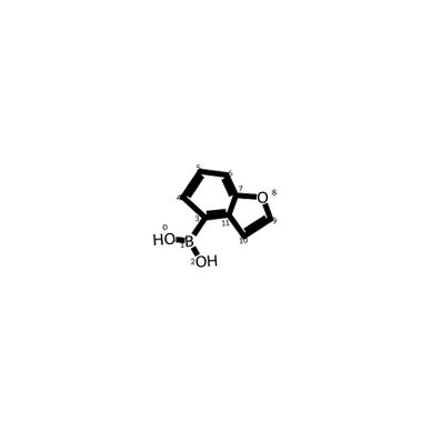 OB(O)c1cccc2occc12